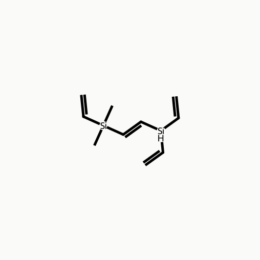 C=C[SiH](C=C)C=C[Si](C)(C)C=C